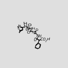 Cc1cc(NS(=O)(=O)NC(=O)N2C[C@H](NC(=O)C(C(=O)O)c3ccccc3)C2=O)ns1